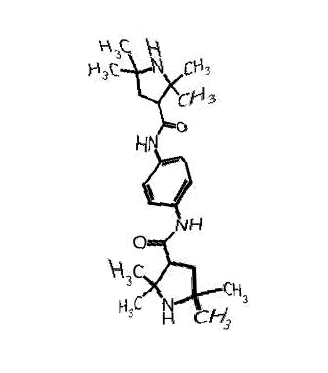 CC1(C)CC(C(=O)Nc2ccc(NC(=O)C3CC(C)(C)NC3(C)C)cc2)C(C)(C)N1